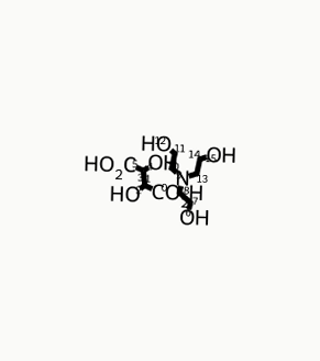 O=C(O)C(O)C(O)C(=O)O.OCCN(CCO)CCO